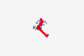 COc1cc2c(cc1OCCCOc1cc3c(cc1OC)C(=O)N1C=C(c4ccc(NC(=O)[C@H](C)NC(=O)[C@@H](NC(=O)CCOCCOCCOCCOCCOCCOCCOCCOCCNC(=O)CCN5C(=O)C=CC5=O)C(C)C)cc4)C[C@H]1CN3)NCC1CC(C3CC3)=CN1C2=O